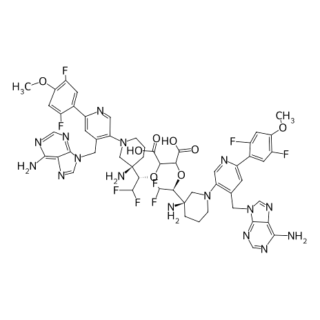 COc1cc(F)c(-c2cc(Cn3cnc4c(N)ncnc43)c(N3CCC[C@](N)([C@H](OC(C(=O)O)C(O[C@H](C(F)F)[C@@]4(N)CCCN(c5cnc(-c6cc(F)c(OC)cc6F)cc5Cn5cnc6c(N)ncnc65)C4)C(=O)O)C(F)F)C3)cn2)cc1F